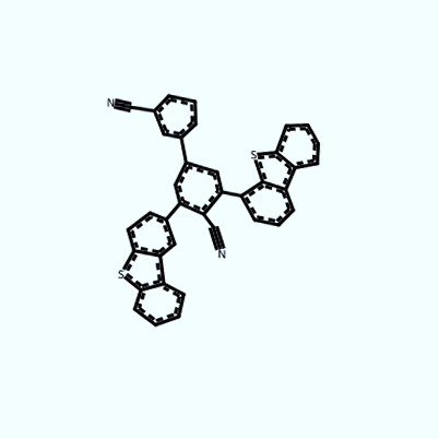 N#Cc1cccc(-c2cc(-c3ccc4sc5ccccc5c4c3)c(C#N)c(-c3cccc4c3sc3ccccc34)c2)c1